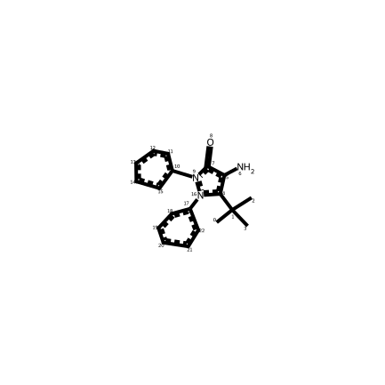 CC(C)(C)c1c(N)c(=O)n(-c2ccccc2)n1-c1ccccc1